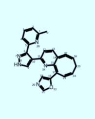 Cc1cccc(-c2n[nH]cc2-c2ccc3/c(n2)=C(c2cnco2)\C=C/CC=C=3)n1